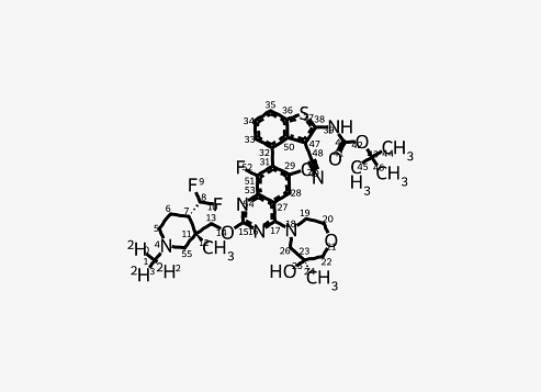 [2H]C([2H])([2H])N1CC[C@H](C(F)F)[C@](C)(COc2nc(N3CCOC[C@@](C)(O)C3)c3cc(Cl)c(-c4cccc5sc(NC(=O)OC(C)(C)C)c(C#N)c45)c(F)c3n2)C1